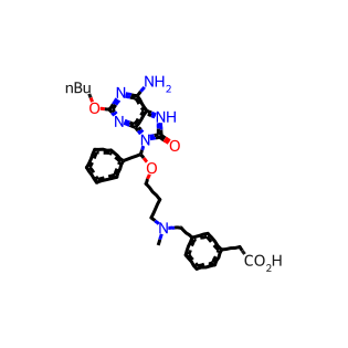 CCCCOc1nc(N)c2[nH]c(=O)n(C(OCCCN(C)Cc3cccc(CC(=O)O)c3)c3ccccc3)c2n1